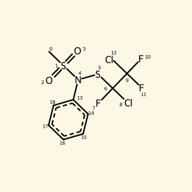 CS(=O)(=O)N(SC(F)(Cl)C(F)(F)Cl)c1ccccc1